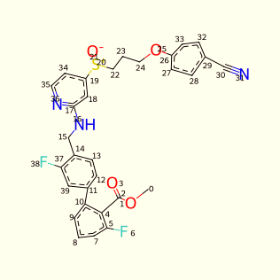 COC(=O)c1c(F)cccc1-c1ccc(CNc2cc([S+]([O-])CCCOc3ccc(C#N)cc3)ccn2)c(F)c1